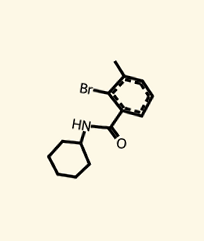 Cc1cccc(C(=O)NC2CCCCC2)c1Br